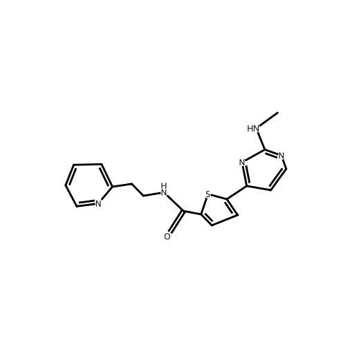 CNc1nccc(-c2ccc(C(=O)NCCc3ccccn3)s2)n1